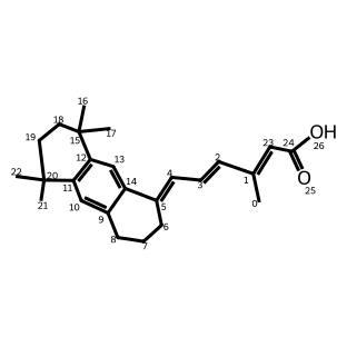 C/C(C=CC=C1CCCc2cc3c(cc21)C(C)(C)CCC3(C)C)=C\C(=O)O